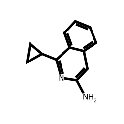 Nc1cc2ccccc2c(C2CC2)n1